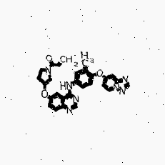 C=CC(=O)N1CCC(Oc2ccc3ncnc(Nc4ccc(Oc5ccn6ncnc6c5)c(C)c4)c3c2)C1